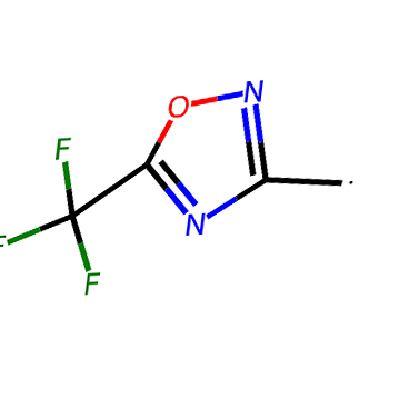 [CH2]c1noc(C(F)(F)F)n1